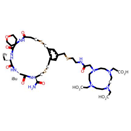 CC[C@H](C)[C@@H]1NC(=O)[C@H](CC(C)C)NC(=O)C2(CCOCC2)NC(=O)CCSCc2cc(CSCCNC(=O)CN3CCN(CC(=O)O)CCN(CC(=O)O)CCN(CC(=O)O)CC3)cc(c2)CSC[C@@H](C(N)=O)NC1=O